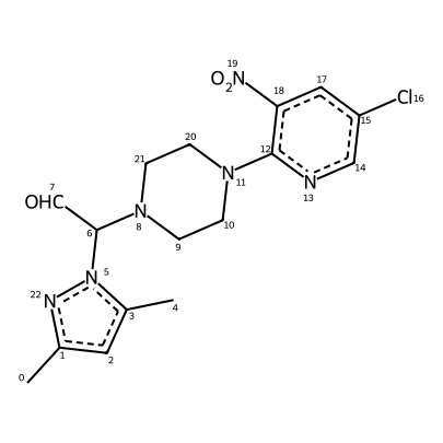 Cc1cc(C)n(C(C=O)N2CCN(c3ncc(Cl)cc3[N+](=O)[O-])CC2)n1